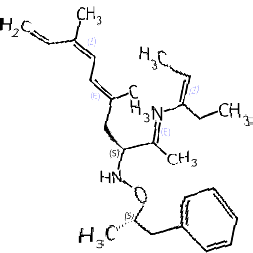 C=C/C(C)=C\C=C(/C)C[C@H](NO[C@@H](C)Cc1ccccc1)/C(C)=N/C(=C\C)CC